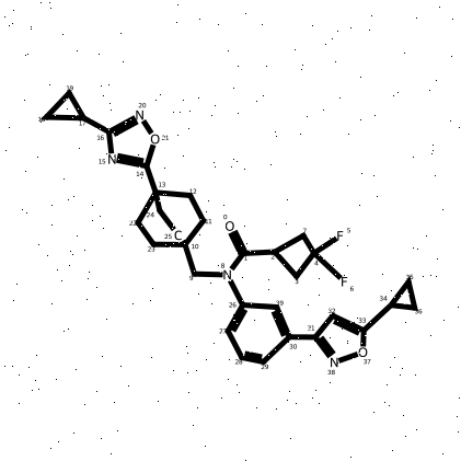 O=C(C1CC(F)(F)C1)N(CC12CCC(c3nc(C4CC4)no3)(CC1)CC2)c1cccc(-c2cc(C3CC3)on2)c1